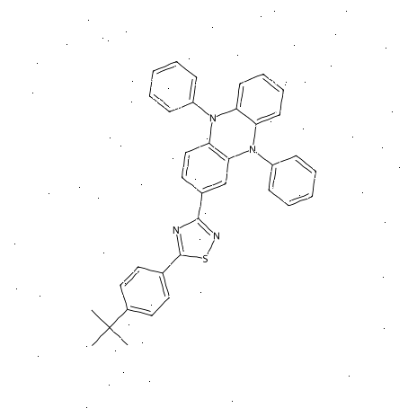 CC(C)(C)c1ccc(-c2nc(-c3ccc4c(c3)N(c3ccccc3)c3ccccc3N4c3ccccc3)ns2)cc1